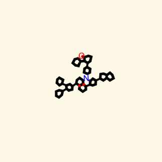 c1ccc(-c2ccc(-c3ccc(N(c4ccc(-c5cccc6oc7ccccc7c56)cc4)c4cc(-c5ccc6ccccc6c5)ccc4-c4ccccc4)cc3)cc2-c2ccccc2)cc1